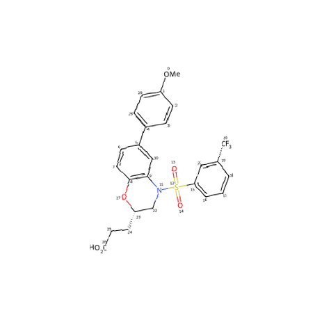 COc1ccc(-c2ccc3c(c2)N(S(=O)(=O)c2cccc(C(F)(F)F)c2)C[C@H](CCC(=O)O)O3)cc1